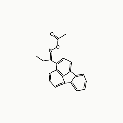 CC/C(=N/OC(C)=O)c1ccc2c3c(cccc13)-c1ccccc1-2